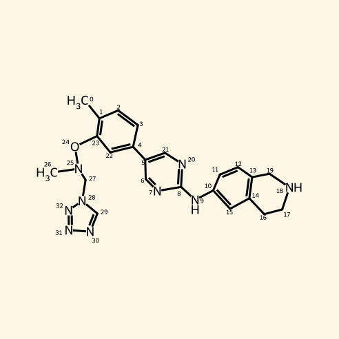 Cc1ccc(-c2cnc(Nc3ccc4c(c3)CCNC4)nc2)cc1ON(C)Cn1cnnn1